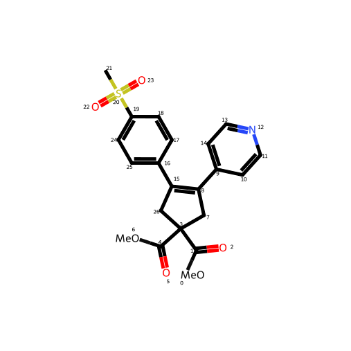 COC(=O)C1(C(=O)OC)CC(c2ccncc2)=C(c2ccc(S(C)(=O)=O)cc2)C1